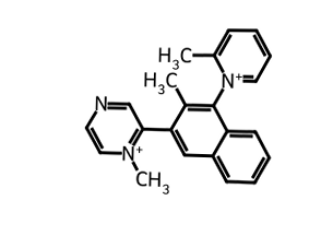 Cc1c(-c2cncc[n+]2C)cc2ccccc2c1-[n+]1ccccc1C